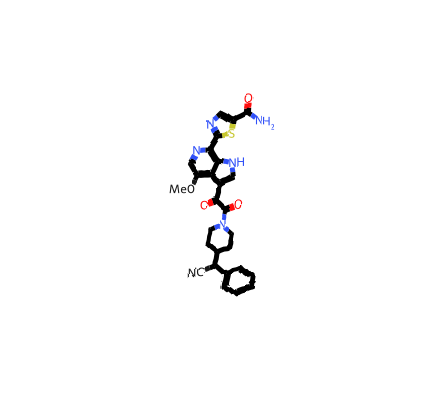 COc1cnc(-c2ncc(C(N)=O)s2)c2[nH]cc(C(=O)C(=O)N3CCC(C(C#N)c4ccccc4)CC3)c12